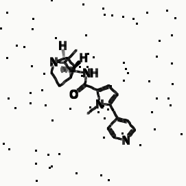 C[C@H]1[C@H](NC(=O)c2ccc(-c3ccncc3)n2C)C2CCN1CC2